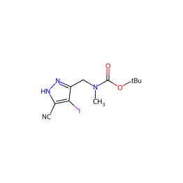 CN(Cc1n[nH]c(C#N)c1I)C(=O)OC(C)(C)C